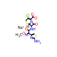 CO/N=C(\C(=O)NC1C(=O)N2C(C(=O)[O-])=C(Cl)CS[C@H]12)c1csc(N)n1.[Na+]